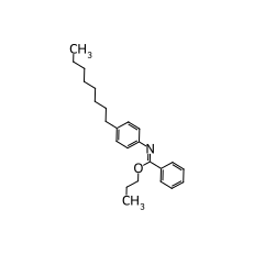 CCCCCCCCc1ccc(N=C(OCCC)c2ccccc2)cc1